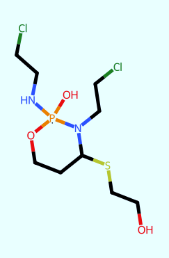 OCCSC1CCO[P](O)(NCCCl)N1CCCl